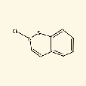 ClN1C=Cc2ccccc2S1